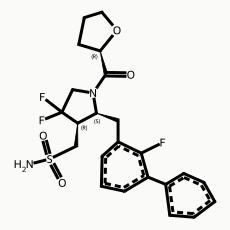 NS(=O)(=O)C[C@@H]1[C@H](Cc2cccc(-c3ccccc3)c2F)N(C(=O)[C@H]2CCCO2)CC1(F)F